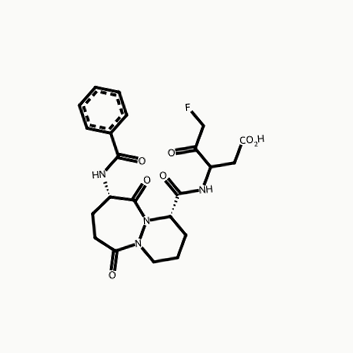 O=C(O)CC(NC(=O)[C@@H]1CCCN2C(=O)CC[C@H](NC(=O)c3ccccc3)C(=O)N12)C(=O)CF